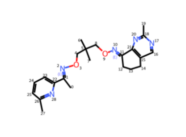 C/C(=N\OCC(C)(C)CO/N=C1\CCCc2cnc(C)nc21)c1cccc(C)n1